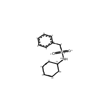 O=S(=O)(Cc1ccccc1)NC1CCCCC1